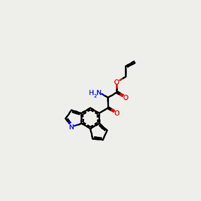 C=CCOC(=O)C(N)C(=O)c1cc2c(c3c1=CC=C3)N=CC=2